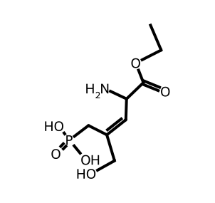 CCOC(=O)C(N)C=C(CO)CP(=O)(O)O